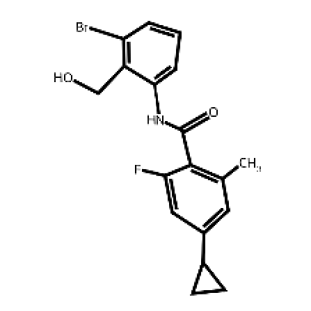 Cc1cc(C2CC2)cc(F)c1C(=O)Nc1cccc(Br)c1CO